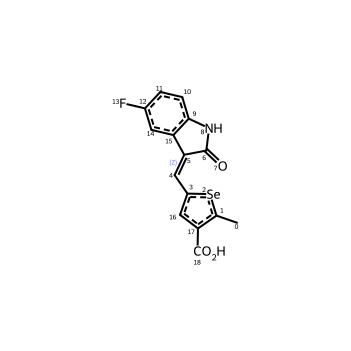 Cc1[se]c(/C=C2\C(=O)Nc3ccc(F)cc32)cc1C(=O)O